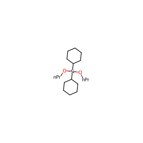 CCCO[Si](OCCC)(C1CCCCC1)C1CCCCC1